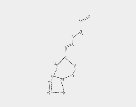 C=COC/C=C/C1CCC2CC=CC2C1